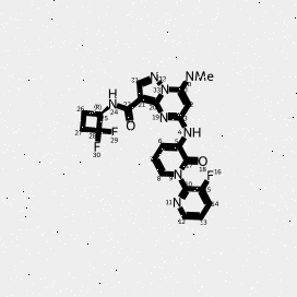 CNc1cc(Nc2cccn(-c3ncccc3F)c2=O)nc2c(C(=O)N[C@@H]3CCC3(F)F)cnn12